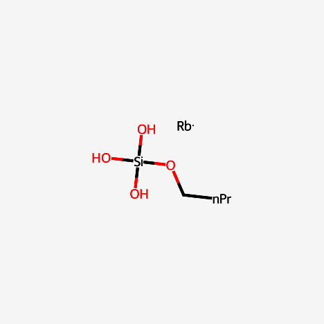 CCCCO[Si](O)(O)O.[Rb]